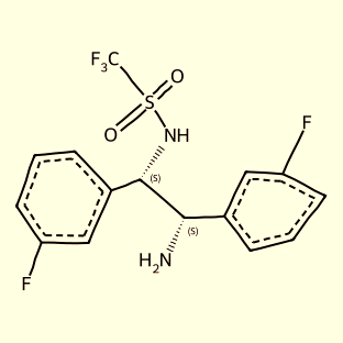 N[C@@H](c1cccc(F)c1)[C@@H](NS(=O)(=O)C(F)(F)F)c1cccc(F)c1